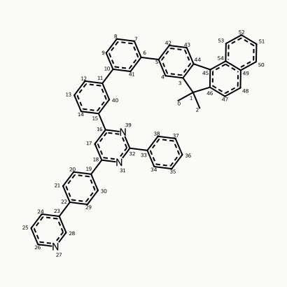 CC1(C)c2cc(-c3cccc(-c4cccc(-c5cc(-c6ccc(-c7cccnc7)cc6)nc(-c6ccccc6)n5)c4)c3)ccc2-c2c1ccc1ccccc21